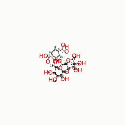 O=C(O)c1ccc(C(=O)O)cc1.OC[C@H]1O[C@@H](O[C@H]2[C@H](O)[C@@H](O)C(O)O[C@@H]2CO)[C@H](O)[C@@H](O)[C@H]1O